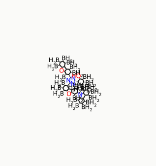 Bc1c(B)c(B)c(-c2nc(-c3c(B)c(B)c4c(oc5c(B)c(B)c(B)c(B)c54)c3B)nc(-c3c(B)c(B)c(B)c4oc5c(B)c(-n6c7c(B)c(B)c(B)c(B)c7c7c(B)c(B)c(B)c(B)c76)c(B)c(B)c5c34)n2)c(O)c1B